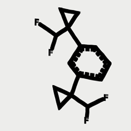 FC(F)C1(c2cccc(C3(C(F)F)CC3)c2)CC1